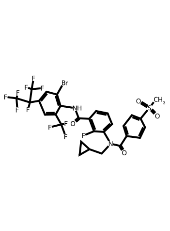 CS(=O)(=O)c1ccc(C(=O)N(CC2CC2)c2cccc(C(=O)Nc3c(Br)cc(C(F)(C(F)(F)F)C(F)(F)F)cc3C(F)(F)F)c2F)cc1